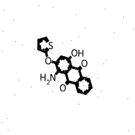 Nc1c(Oc2cccs2)cc(O)c2c1C(=O)c1ccccc1C2=O